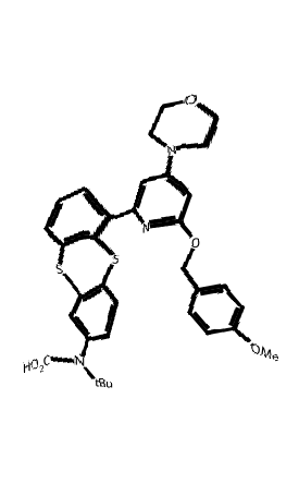 COc1ccc(COc2cc(N3CCOCC3)cc(-c3cccc4c3Sc3ccc(N(C(=O)O)C(C)(C)C)cc3S4)n2)cc1